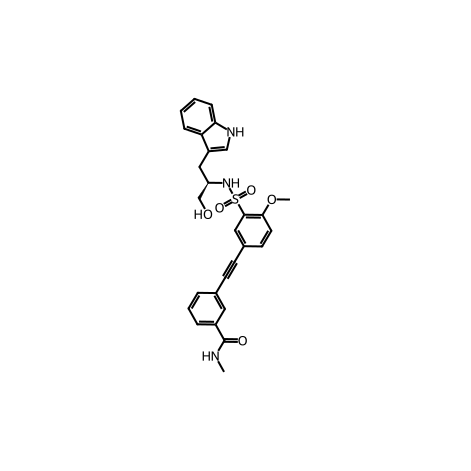 CNC(=O)c1cccc(C#Cc2ccc(OC)c(S(=O)(=O)N[C@@H](CO)Cc3c[nH]c4ccccc34)c2)c1